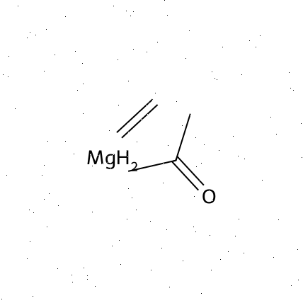 C=C.CC(C)=O.[MgH2]